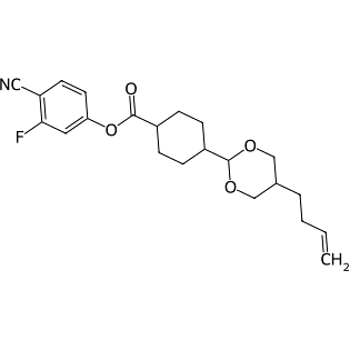 C=CCCC1COC(C2CCC(C(=O)Oc3ccc(C#N)c(F)c3)CC2)OC1